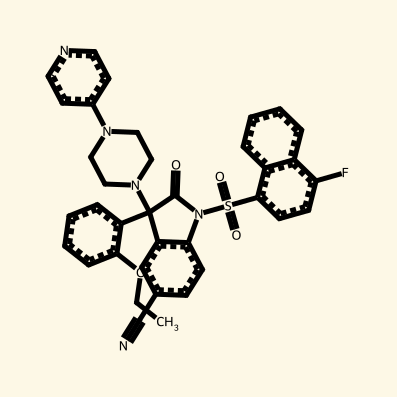 CCOc1ccccc1C1(N2CCN(c3ccncc3)CC2)C(=O)N(S(=O)(=O)c2ccc(F)c3ccccc23)c2ccc(C#N)cc21